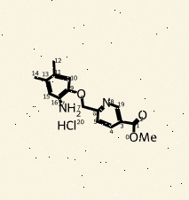 COC(=O)c1ccc(COc2cc(C)c(C)cc2N)nc1.Cl